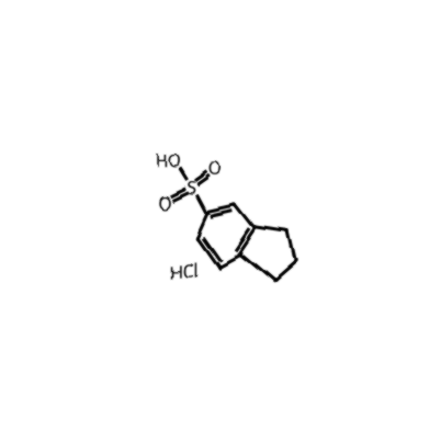 Cl.O=S(=O)(O)c1ccc2c(c1)CCC2